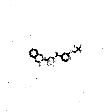 C[C@H](CNC(=O)c1ccnc(OCC(F)(F)F)c1)[C@@H]1Cc2ccccc2CN1